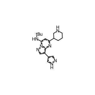 CC(C)(C)Nc1cc(C2CCCNC2)nc2c(-c3cn[nH]c3)cnn12